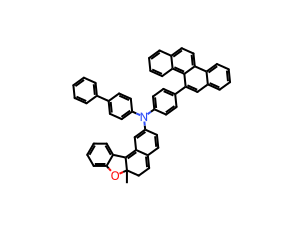 CC12CC=c3ccc(N(c4ccc(-c5ccccc5)cc4)c4ccc(-c5cc6ccccc6c6ccc7ccccc7c56)cc4)cc3=C1c1ccccc1O2